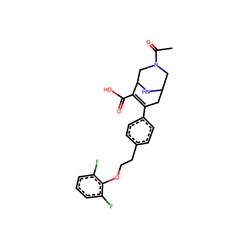 CC(=O)N1CC2CC(c3ccc(CCOc4c(F)cccc4F)cc3)=C(C(=O)O)C(C1)N2